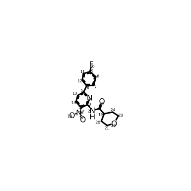 O=C(Nc1nc(-c2ccc(F)cc2)ccc1[N+](=O)[O-])C1CCOCC1